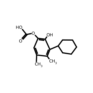 Cc1cc(OC(=O)O)c(O)c(C2CCCCC2)c1C